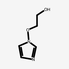 OCCOn1ccnc1